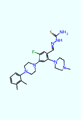 Cc1cccc(N2CCN(c3cc(N4CCN(C)CC4)c(/C=N/NC(N)=S)cc3F)CC2)c1C